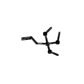 C=CC[Si](OC)(OC)OC